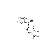 c1nc2c(cc1C1NCc3[nH]ncc31)CCN2